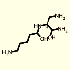 NCCCCC(O)N[C@@H](CN)C(N)O